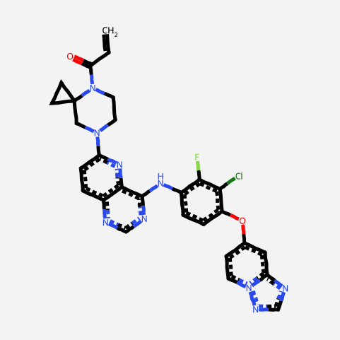 C=CC(=O)N1CCN(c2ccc3ncnc(Nc4ccc(Oc5ccn6ncnc6c5)c(Cl)c4F)c3n2)CC12CC2